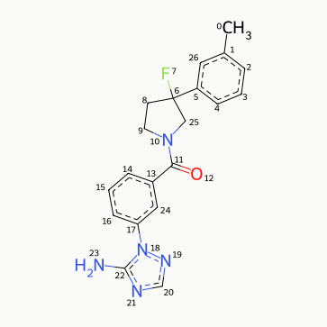 Cc1cccc(C2(F)CCN(C(=O)c3cccc(-n4ncnc4N)c3)C2)c1